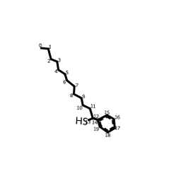 CCCCCCCCCCCCC(S)c1ccccc1